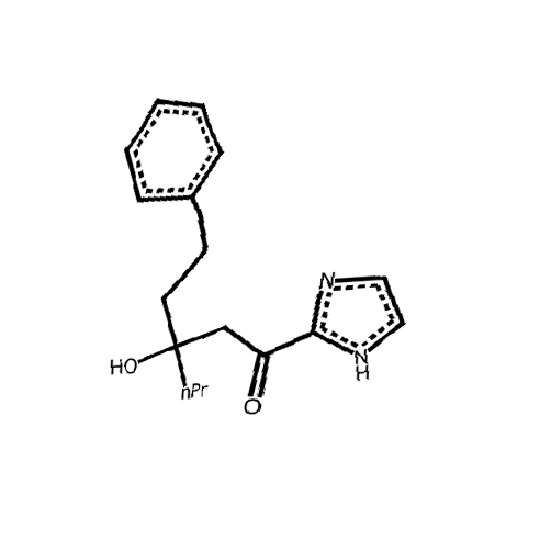 CCCC(O)(CCc1ccccc1)CC(=O)c1ncc[nH]1